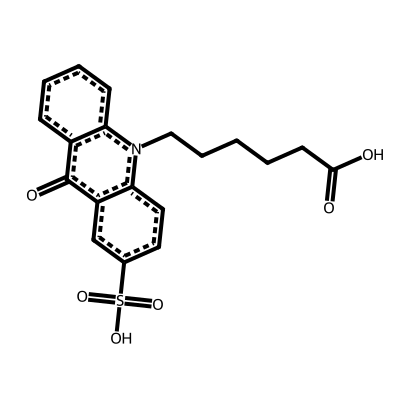 O=C(O)CCCCCn1c2ccccc2c(=O)c2cc(S(=O)(=O)O)ccc21